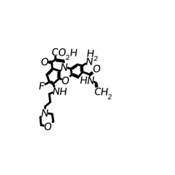 C=CNC(=O)c1cc2c(cc1N)-n1cc(C(=O)O)c(=O)c3cc(F)c(NCCCN4CCOCC4)c(c31)O2